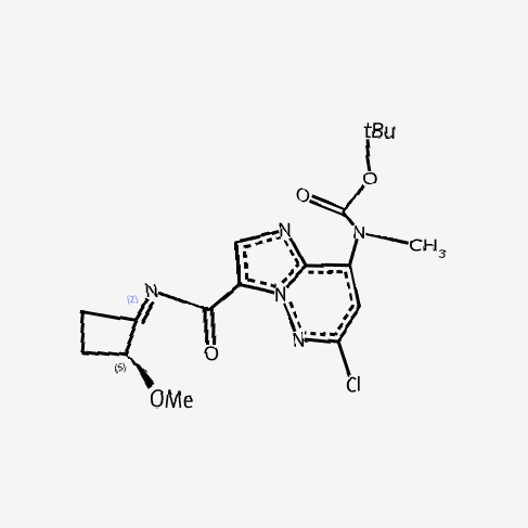 CO[C@H]1CC/C1=N/C(=O)c1cnc2c(N(C)C(=O)OC(C)(C)C)cc(Cl)nn12